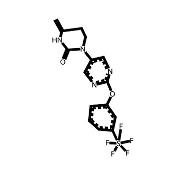 C=C1CCN(c2cnc(Oc3cccc(S(F)(F)(F)(F)F)c3)nc2)C(=O)N1